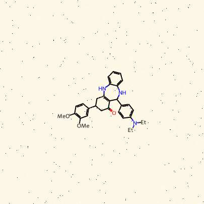 CCN(CC)c1ccc(C2Nc3ccccc3NC3=C2C(=O)CC(c2ccc(OC)c(OC)c2)C3)cc1